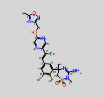 Cc1nc(COc2cnc(C(F)=Cc3cc(F)c(F)c(C4(C)CS(=O)(=O)N(C)C(N)=N4)c3)cn2)no1